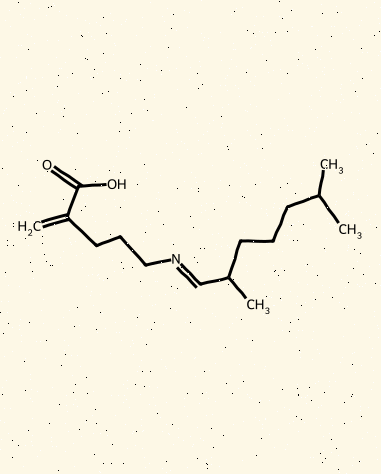 C=C(CCCN=CC(C)CCCC(C)C)C(=O)O